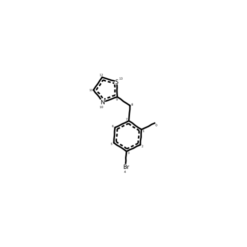 Cc1cc(Br)ccc1Cc1nccs1